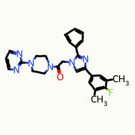 Cc1cc(-c2cn(CC(=O)N3CCN(c4ncccn4)CC3)c(-c3ccccc3)n2)cc(C)c1F